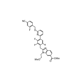 COCCn1c(Cc2c(F)cc(-c3cccc(OCc4ccc(C#N)cc4F)n3)c(F)c2F)nc2ccc(C(=O)OC)cc21